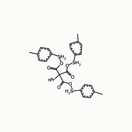 [CH2]CCC(C(=O)O[SiH2]c1ccc(C)cc1)(C(=O)O[SiH2]c1ccc(C)cc1)C(=O)O[SiH2]c1ccc(C)cc1